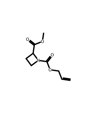 C=CCOC(=O)N1CCC1C(=O)OC